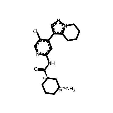 N[C@@H]1CCC[C@@H](C(=O)Nc2cc(-c3cnn4c3CCCC4)c(Cl)cn2)C1